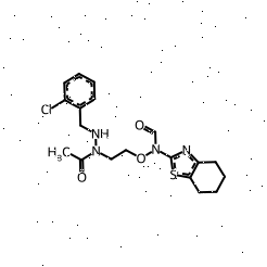 CC(=O)N(CCON(C=O)c1nc2c(s1)CCCC2)NCc1ccccc1Cl